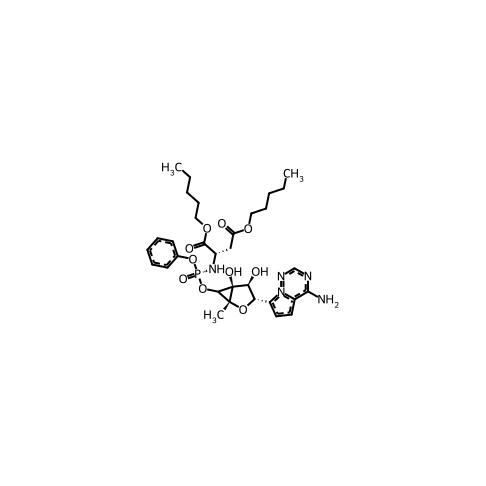 CCCCCOC(=O)C[C@H](N[P@](=O)(Oc1ccccc1)OC1[C@@]2(C)O[C@@H](c3ccc4c(N)ncnn34)[C@H](O)[C@@]12O)C(=O)OCCCCC